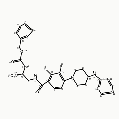 O=C(N[C@@H](CNC(=O)c1ccc(N2CCC(Nc3ncccn3)CC2)c(F)c1F)C(=O)O)OCc1ccccc1